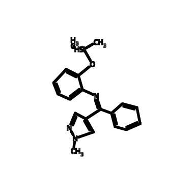 Cn1cc(C(=Nc2ccccc2O[SiH](C)C)c2ccccc2)cn1